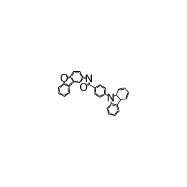 C1=CC2c3ccccc3N(c3ccc(-c4nc5ccc6oc7ccccc7c6c5o4)cc3)C2C=C1